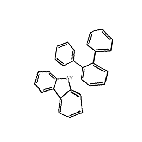 c1ccc(-c2ccccc2-c2ccccc2)cc1.c1ccc2c(c1)[nH]c1ccccc12